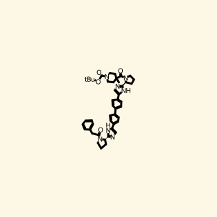 CC(C)(C)OC(=O)N1CCC(C)(C(=O)N2CCC[C@H]2c2ncc(-c3ccc(-c4ccc(-c5cnc([C@@H]6CCCN6C(=O)Cc6ccccc6)[nH]5)cc4)cc3)[nH]2)CC1